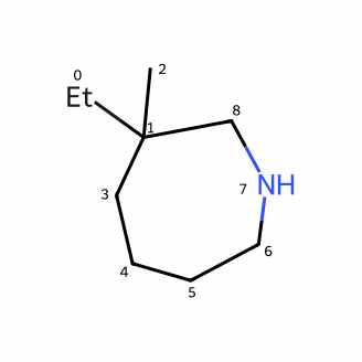 CCC1(C)CCCCNC1